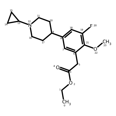 CCOC(=O)Cc1cc(C2CCN(C3CC3)CC2)cc(F)c1OC